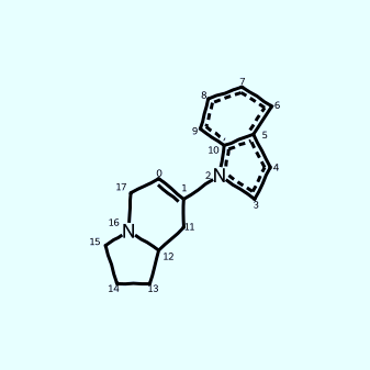 C1=C(n2ccc3ccccc32)CC2CCCN2C1